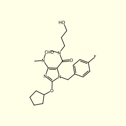 CN(CCCO)C(=O)c1c(N(C)C=O)nc(OC2CCCC2)n1Cc1ccc(F)cc1